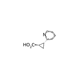 O=C(O)[C@@H]1C[C@H]1c1ccccn1